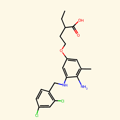 CCC(CCOc1cc(C)c(N)c(NCc2ccc(Cl)cc2Cl)c1)C(=O)O